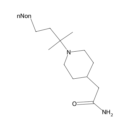 CCCCCCCCCCCC(C)(C)N1CCC(CC(N)=O)CC1